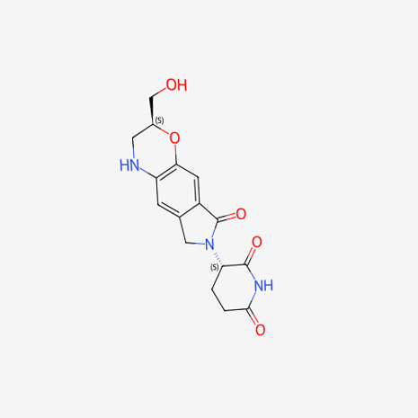 O=C1CC[C@H](N2Cc3cc4c(cc3C2=O)O[C@H](CO)CN4)C(=O)N1